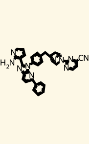 N#Cc1ccnc(N2CC3CCC2CN3Cc2ccc(-n3c(-c4cccnc4N)nc4ccc(-c5ccccc5)nc43)cc2)n1